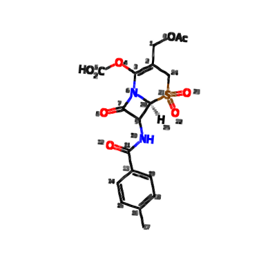 CC(=O)OCC1=C(OC(=O)O)N2C(=O)C(NC(=O)c3ccc(C)cc3)[C@@H]2S(=O)(=O)C1